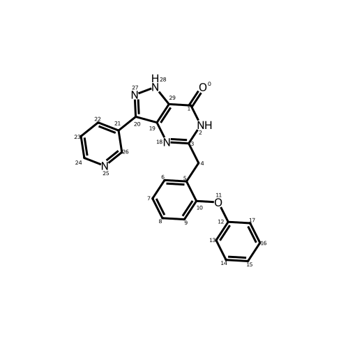 O=c1[nH]c(Cc2ccccc2Oc2ccccc2)nc2c(-c3cccnc3)n[nH]c12